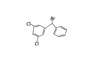 Clc1cc(Cl)cc(C(Br)c2ccccc2)c1